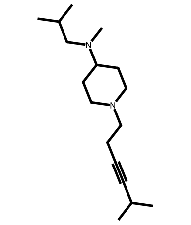 CC(C)C#CCCN1CCC(N(C)CC(C)C)CC1